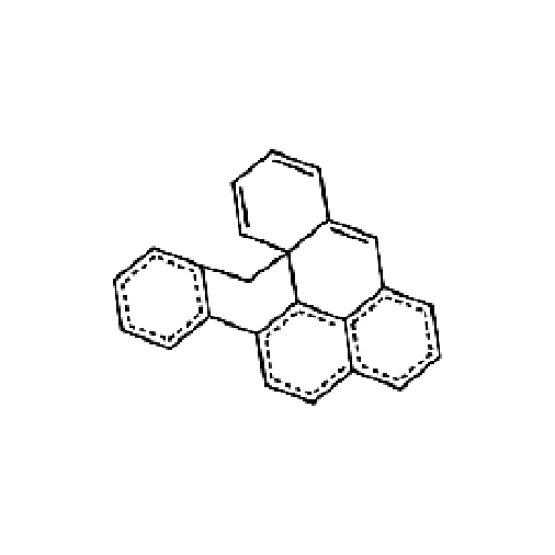 C1=CC2=Cc3cccc4ccc5c(c34)C2(C=C1)Cc1ccccc1-5